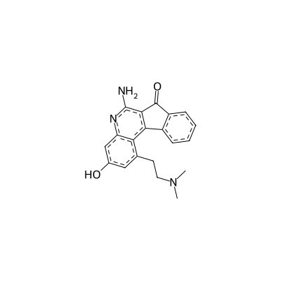 CN(C)CCc1cc(O)cc2nc(N)c3c(c12)-c1ccccc1C3=O